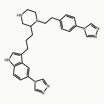 c1cc(-n2cnnc2)ccc1CCN1CCNCC1CCCc1c[nH]c2ccc(-n3cnnc3)cc12